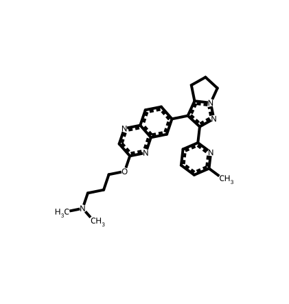 Cc1cccc(-c2nn3c(c2-c2ccc4ncc(OCCCN(C)C)nc4c2)CCC3)n1